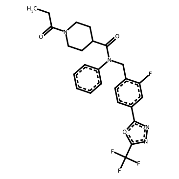 CCC(=O)N1CCC(C(=O)N(Cc2ccc(-c3nnc(C(F)(F)F)o3)cc2F)c2ccccc2)CC1